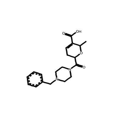 CC1OC(C(=O)N2CCN(Cc3ccccc3)CC2)CC=C1C(=O)O